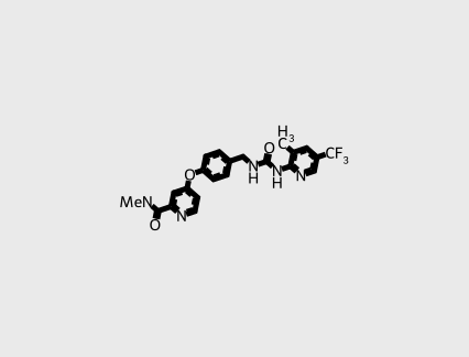 CNC(=O)c1cc(Oc2ccc(CNC(=O)Nc3ncc(C(F)(F)F)cc3C)cc2)ccn1